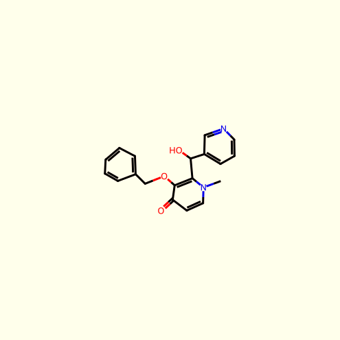 Cn1ccc(=O)c(OCc2ccccc2)c1C(O)c1cccnc1